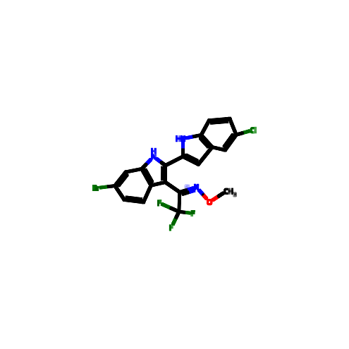 CO/N=C(/c1c(-c2cc3cc(Cl)ccc3[nH]2)[nH]c2cc(Br)ccc12)C(F)(F)F